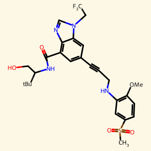 COc1ccc(S(C)(=O)=O)cc1NCC#Cc1cc(C(=O)NC(CO)C(C)(C)C)c2ncn(CC(F)(F)F)c2c1